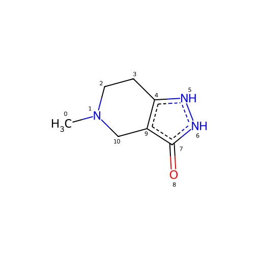 CN1CCc2[nH][nH]c(=O)c2C1